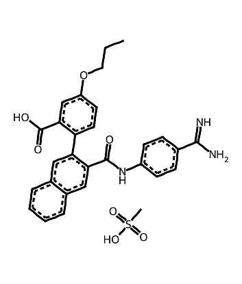 CCCOc1ccc(-c2cc3ccccc3cc2C(=O)Nc2ccc(C(=N)N)cc2)c(C(=O)O)c1.CS(=O)(=O)O